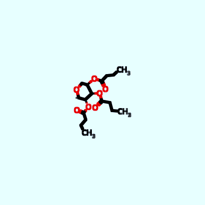 CCCC(=O)O[C@H]1[C@H](OC(=O)CCC)[CH]OC[C@H]1OC(=O)CCC